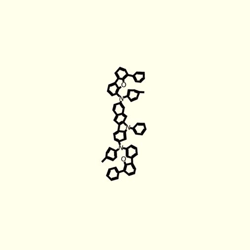 Cc1ccc(N(c2ccc3cc4c5ccc(N(c6ccc(C)cc6)c6cccc7c6oc6c(-c8ccccc8)cccc67)cc5n(-c5ccccc5)c4cc3c2)c2cccc3c2oc2c(-c4ccccc4)cccc23)cc1